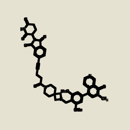 COc1cc(-c2cn(C)c(=O)c3cnccc23)cc(OC)c1CN1CC2(CCN(C(=O)CCC#Cc3ccc4c(c3)C(=O)N(C3CCC(=O)NC3=O)C4=O)CC2)C1